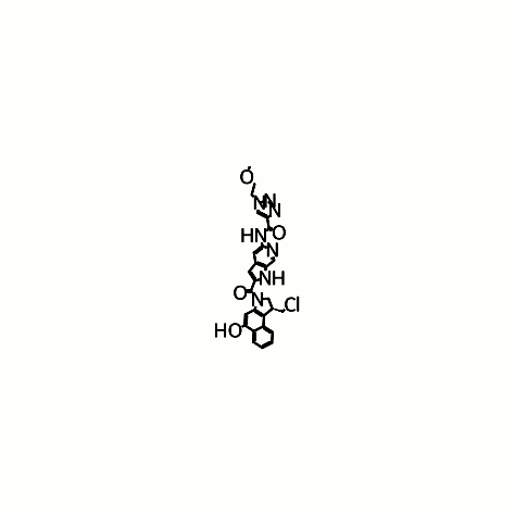 COCCn1cc(C(=O)Nc2cc3cc(C(=O)N4C[C@@H](CCl)c5c4cc(O)c4ccccc54)[nH]c3cn2)nn1